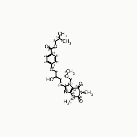 COCn1c(SCC(O)COc2ccc(C(=O)OCC(C)C)cc2)nc2c1c(=O)n(C)c(=O)n2C